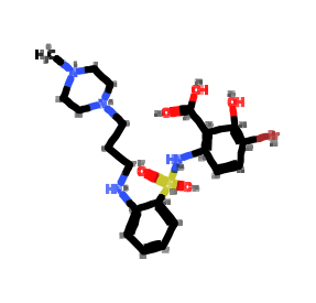 CN1CCN(CCCNc2ccccc2S(=O)(=O)Nc2ccc(Br)c(O)c2C(=O)O)CC1